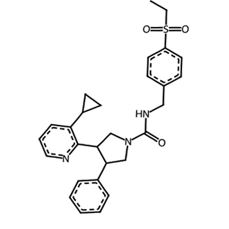 CCS(=O)(=O)c1ccc(CNC(=O)N2CC(c3ccccc3)C(c3ncccc3C3CC3)C2)cc1